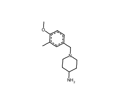 COc1ccc(CN2CCC(N)CC2)cc1C